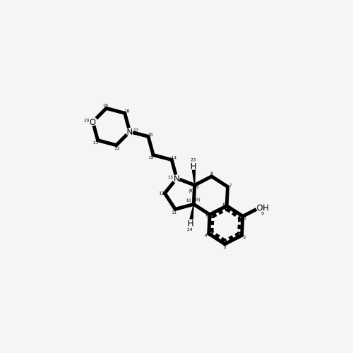 Oc1cccc2c1CC[C@@H]1[C@H]2CCN1CCCN1CCOCC1